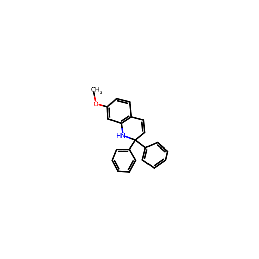 COc1ccc2c(c1)NC(c1ccccc1)(c1ccccc1)C=C2